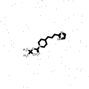 CC(C)(C)OC(=O)N1CCC(CCCc2ncc[nH]2)CC1